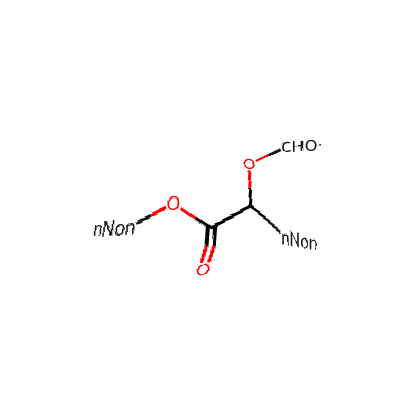 CCCCCCCCCOC(=O)C(CCCCCCCCC)O[C]=O